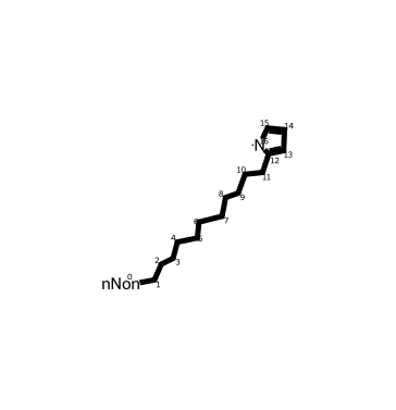 CCCCCCCCCCCCCCCCCCCCC1=CC=C[N]1